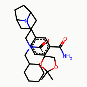 CC1(C)OC[C@@H](C(=O)N(CCN2C3CCC2CC(c2cccc(C(N)=O)c2)C3)CC2CCCCC2)O1